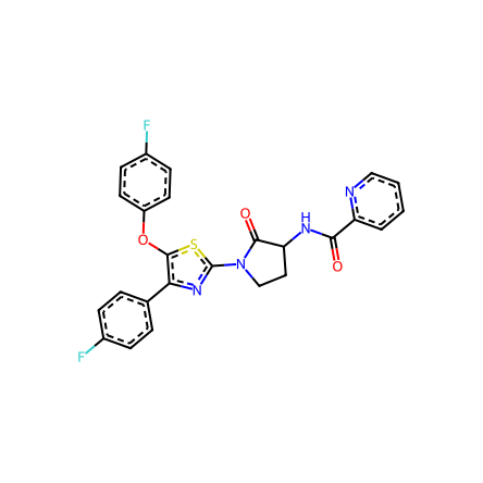 O=C(NC1CCN(c2nc(-c3ccc(F)cc3)c(Oc3ccc(F)cc3)s2)C1=O)c1ccccn1